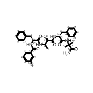 CC(NC(=O)[C@H](Cc1ccccc1)NC(=O)c1cccc(F)c1)C(=O)C(=O)N[C@@H](Cc1ccccc1)C(=O)NC(C)(C)C(N)=O